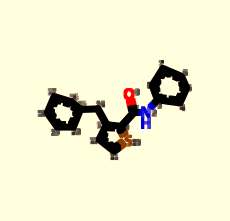 O=C(Nc1ccccc1)c1sccc1Cc1ccccc1